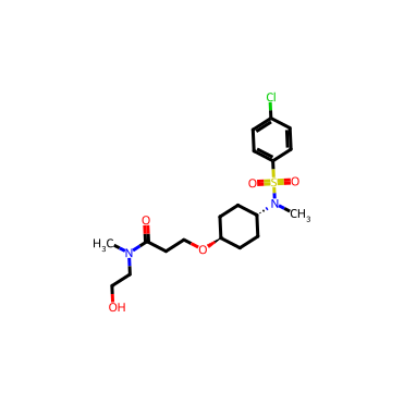 CN(CCO)C(=O)CCO[C@H]1CC[C@H](N(C)S(=O)(=O)c2ccc(Cl)cc2)CC1